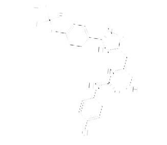 CC(F)(F)OC1=CC=C(C2=NOC(CC(CO)NC(=O)NC3C=CC(Cl)=CC3)N2)CC1